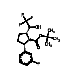 CC(C)(C)OC(=O)N1[C@@H](C(O)C(F)(F)F)CC[C@H]1c1cccc(F)c1